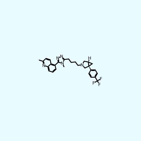 Cc1ccc2c(-c3nnc(CCCCN4C[C@@H]5C[C@]5(c5ccc(C(F)(F)F)cc5)C4)n3C)cccc2n1